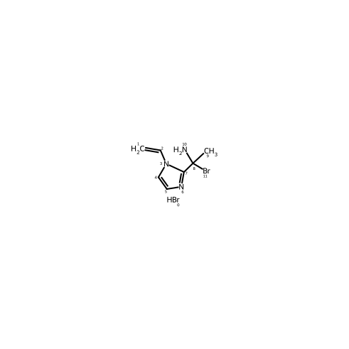 Br.C=Cn1ccnc1C(C)(N)Br